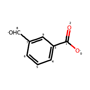 [O]C(=O)c1cccc([C]=O)c1